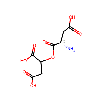 N[C@@H](CC(=O)O)C(=O)OC(CC(=O)O)C(=O)O